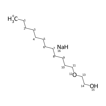 CCCCCCCCCCCCOCCO.[NaH]